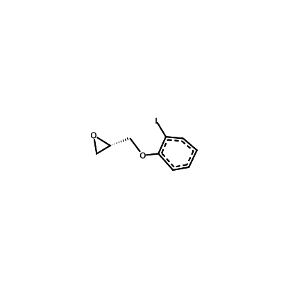 Ic1ccccc1OC[C@@H]1CO1